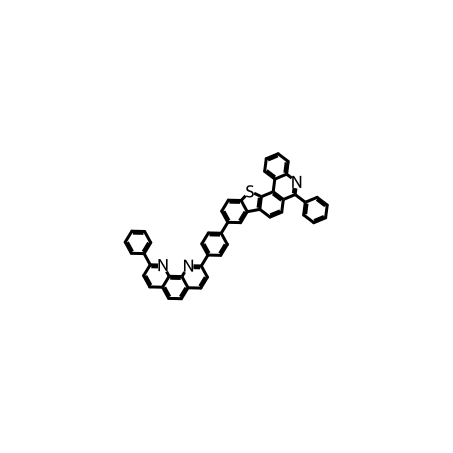 c1ccc(-c2ccc3ccc4ccc(-c5ccc(-c6ccc7sc8c(ccc9c(-c%10ccccc%10)nc%10ccccc%10c98)c7c6)cc5)nc4c3n2)cc1